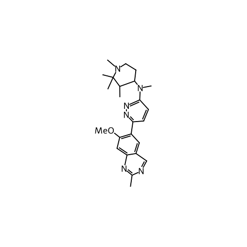 COc1cc2nc(C)ncc2cc1-c1ccc(N(C)C2CCN(C)C(C)(C)C2C)nn1